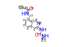 CCNC(=O)Nc1cc2cccc(CNC(=O)C(C)(C)C)c2cn1